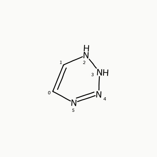 C1=CNNN=N1